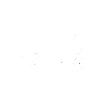 CC(C)N(C)[C@@H]1CC[C@H](N2CC[C@H](Nc3ncnc4ccc(C(F)(F)F)cc34)C2=O)[C@H](NC(=O)[C@H]2C[C@H](NC(=O)CCO[C@H]3CC[C@@H](OCCNC(=O)[C@H]4CC(=O)N(C)[C@@H]4c4cccnc4)CC3)C2)C1